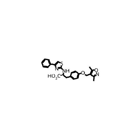 Cc1noc(C)c1COc1ccc(C[C@H](Nc2nc(-c3ccccc3)cs2)C(=O)O)cc1